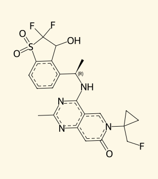 Cc1nc(N[C@H](C)c2cccc3c2C(O)C(F)(F)S3(=O)=O)c2cn(C3(CF)CC3)c(=O)cc2n1